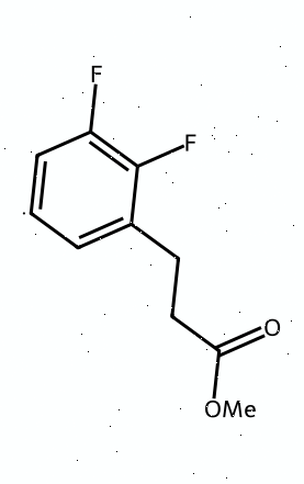 COC(=O)CCc1c[c]cc(F)c1F